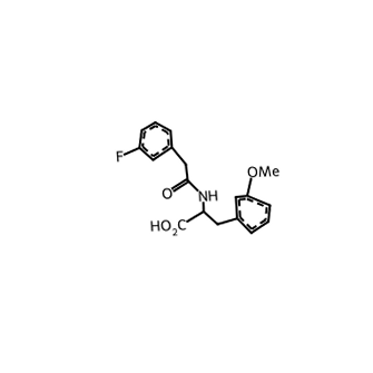 COc1cccc(CC(NC(=O)Cc2cccc(F)c2)C(=O)O)c1